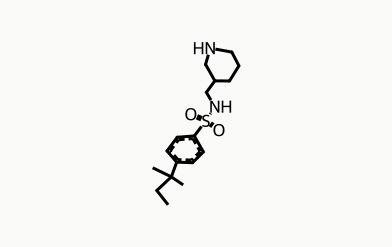 CCC(C)(C)c1ccc(S(=O)(=O)NCC2CCCNC2)cc1